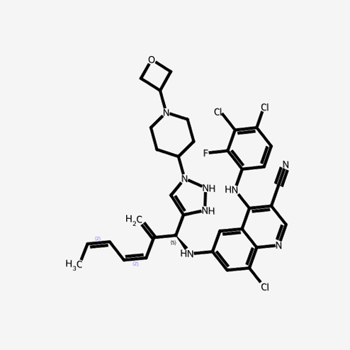 C=C(/C=C\C=C/C)[C@H](Nc1cc(Cl)c2ncc(C#N)c(Nc3ccc(Cl)c(Cl)c3F)c2c1)C1=CN(C2CCN(C3COC3)CC2)NN1